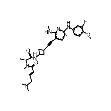 CNc1nc(Nc2ccc(OC)c(F)c2)ncc1C#CC1CC(NC(=O)[C@H](C)N(C)C(=O)/C=C/CN(C)C)C1